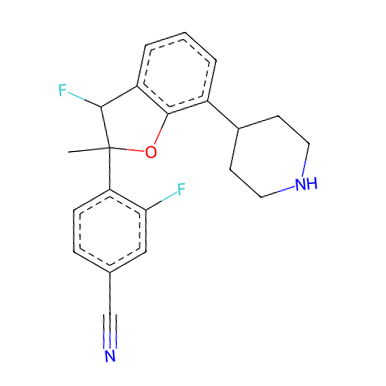 CC1(c2ccc(C#N)cc2F)Oc2c(C3CCNCC3)cccc2C1F